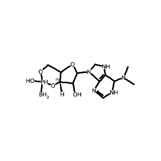 B[PH]1(O)OCC2OC(N3CNC4=C3N=CNC4N(C)C)C(O)[C@@H]2O1